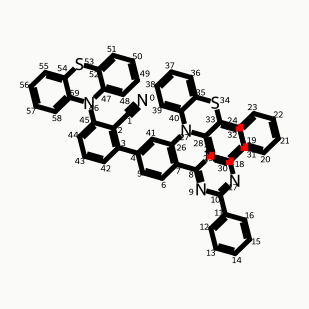 N#Cc1c(-c2ccc(-c3nc(-c4ccccc4)nc(-c4ccccc4)n3)c(N3c4ccccc4Sc4ccccc43)c2)cccc1N1c2ccccc2Sc2ccccc21